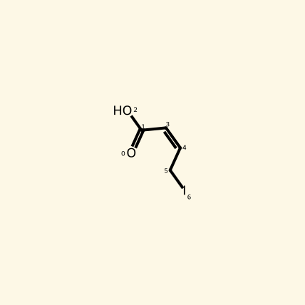 O=C(O)/C=C\CI